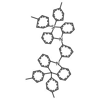 Cc1ccc(C2(c3ccc(C)cc3)c3ccccc3N(c3cccc(N4c5ccccc5[Si](c5ccc(C)cc5)(c5ccc(C)cc5)c5ccccc54)c3)c3ccccc32)cc1